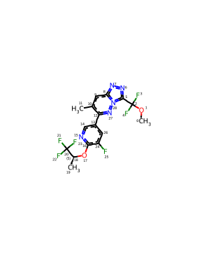 COC(F)(F)c1nnc2cc(C)c(-c3cnc(O[C@@H](C)C(F)(F)F)c(F)c3)nn12